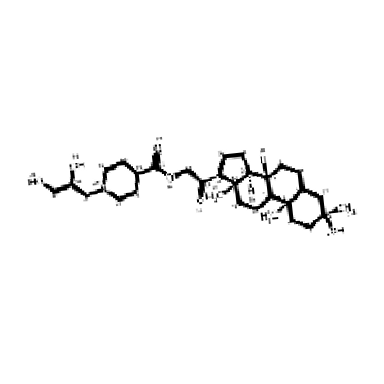 C[C@@]1(O)CC[C@@]2(C)C(CC[C@@H]3C2CC[C@]2(C)[C@@H](C(=O)COC(=O)C4CCN(CC(O)CO)CC4)CC[C@@H]32)C1